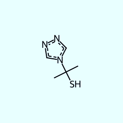 CC(C)(S)n1cnnc1